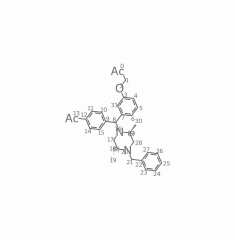 CC(=O)COc1cccc(C(c2ccc(C(C)=O)cc2)N2C[C@@H](C)N(Cc3ccccc3)C[C@@H]2C)c1